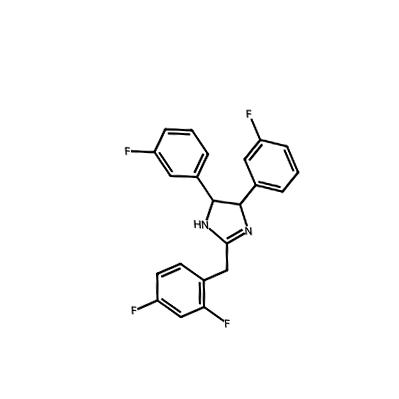 Fc1cccc(C2N=C(Cc3ccc(F)cc3F)NC2c2cccc(F)c2)c1